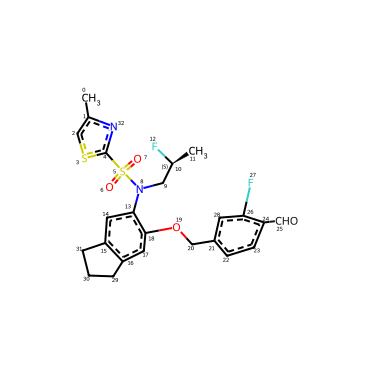 Cc1csc(S(=O)(=O)N(C[C@H](C)F)c2cc3c(cc2OCc2ccc(C=O)c(F)c2)CCC3)n1